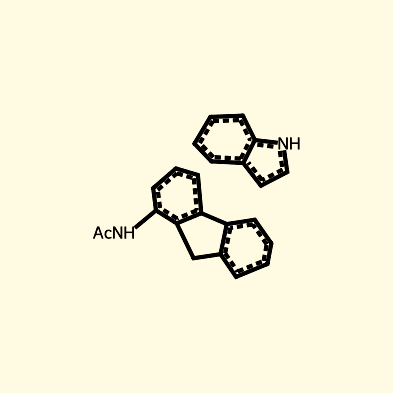 CC(=O)Nc1cccc2c1Cc1ccccc1-2.c1ccc2[nH]ccc2c1